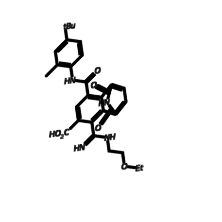 CCOCCNC(=N)c1c(C(=O)O)cc(C(=O)Nc2ccc(C(C)(C)C)cc2C)c2c3ccc(c(=O)[nH]c3=O)c12